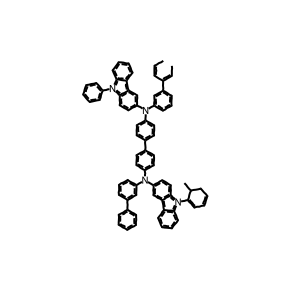 C/C=C\C(=C/C)c1cccc(N(c2ccc(-c3ccc(N(c4cccc(-c5ccccc5)c4)c4ccc5c(c4)c4ccccc4n5C4=CC=CCC4C)cc3)cc2)c2ccc3c(c2)c2ccccc2n3-c2ccccc2)c1